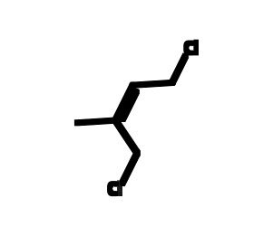 C/C(=C/CCl)CCl